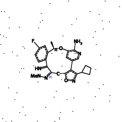 CN/N=C1/Cc2onc(C3CCC3)c2-c2cnc(N)c(c2)O[C@H](C)c2cc(F)ccc2C1=N